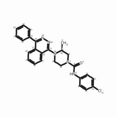 C[C@H]1CN(C(=O)Nc2ccc(Cl)cc2)CCN1c1nnc(-c2ccccc2)c2ccccc12